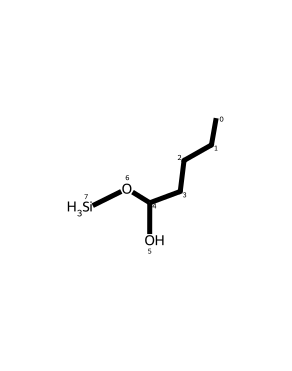 CCCCC(O)O[SiH3]